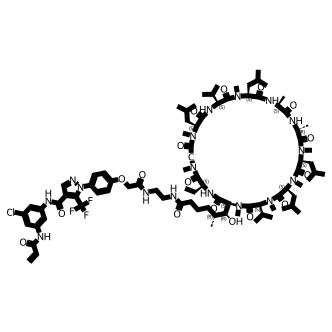 C=CC(=O)Nc1cc(Cl)cc(NC(=O)c2cnn(-c3ccc(OCC(=O)NCCNC(=O)CCC[C@@H](C)[C@@H](O)[C@H]4C(=O)N[C@@H](CC)C(=O)N(C)CC(=O)N(C)[C@@H](CC(C)C)C(=O)N[C@@H](C(C)C)C(=O)N(C)[C@@H](CC(C)C)C(=O)N[C@@H](C)C(=O)N[C@H](C)C(=O)N(C)[C@@H](CC(C)C)C(=O)N(C)[C@@H](CC(C)C)C(=O)N(C)[C@@H](C(C)C)C(=O)N4C)cc3)c2C(F)(F)F)c1